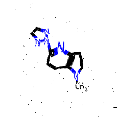 Cn1ccc2nc(-n3nccn3)ccc21